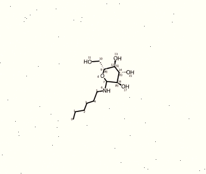 CCCCCCNC1O[C@H](CO)[C@@H](O)[C@H](O)[C@H]1O